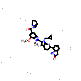 COc1cc(C(=O)N2CC3CCC2C3)cc2nc(-c3cc4ccc(-c5cccc6c5NC(=O)C6)nc4n3CC3CC3)n(C)c12